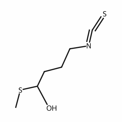 CSC(O)CCCN=C=S